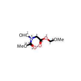 COCOC(=O)CN(C=O)C(=O)OC